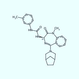 Cc1cccc(NC(=O)N[C@@H]2N=C(N3CC4CCC(C4)C3)c3ccccc3N(C)C2=O)c1